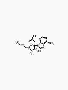 CCSC[C@H]1O[C@@](CC(=O)O)(n2cnc3c(N)ncnc32)[C@H](O)[C@@H]1O